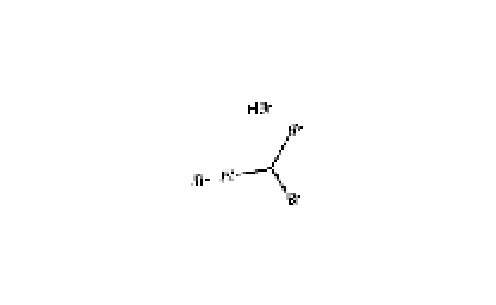 Br.Br.CCC(Br)Br